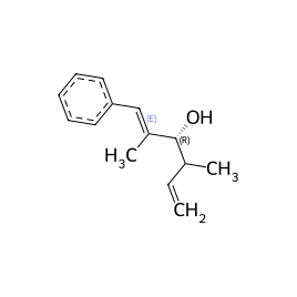 C=CC(C)[C@@H](O)/C(C)=C/c1ccccc1